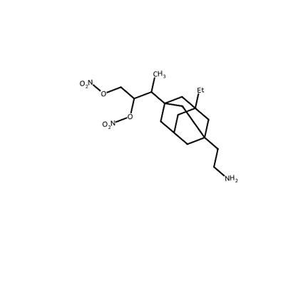 CCC12CC3CC(CCN)(C1)CC(C(C)C(CO[N+](=O)[O-])O[N+](=O)[O-])(C3)C2